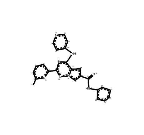 Cc1cccc(-c2nc(Nc3ccncc3)c3cc(C(=O)Nc4ccccc4)cn3n2)n1